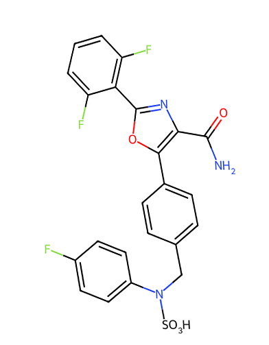 NC(=O)c1nc(-c2c(F)cccc2F)oc1-c1ccc(CN(c2ccc(F)cc2)S(=O)(=O)O)cc1